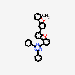 CC12C=CC=CC1c1cc(-c3cccc4c3oc3cccc(-c5nc(C6=CC=CCC6)nc(-c6ccccc6)n5)c34)ccc1O2